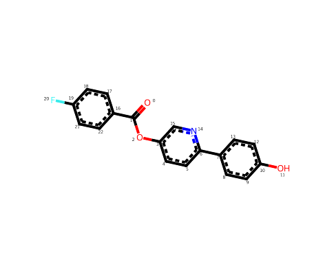 O=C(Oc1ccc(-c2ccc(O)cc2)nc1)c1ccc(F)cc1